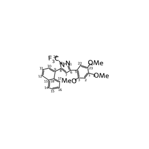 COc1cc(OC)c(-c2cc(-c3cccc4ccccc34)n(C(F)(F)F)n2)cc1OC